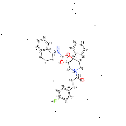 O=C(NC1CCCc2ccccc21)OC1(c2ccccc2)CCN(C(=O)CCc2ccc(F)cc2)CC1